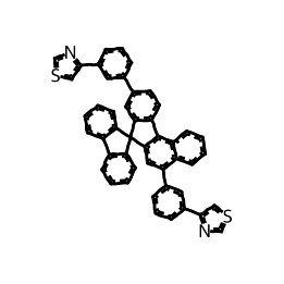 c1cc(-c2ccc3c(c2)C2(c4ccccc4-c4ccccc42)c2cc(-c4cccc(-c5cscn5)c4)c4ccccc4c2-3)cc(-c2cscn2)c1